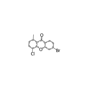 Cc1ccc(Cl)c2oc3cc(Br)ccc3c(=O)c12